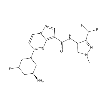 Cn1cc(NC(=O)c2cnn3ccc(N4CC(F)C[C@H](N)C4)nc23)c(C(F)F)n1